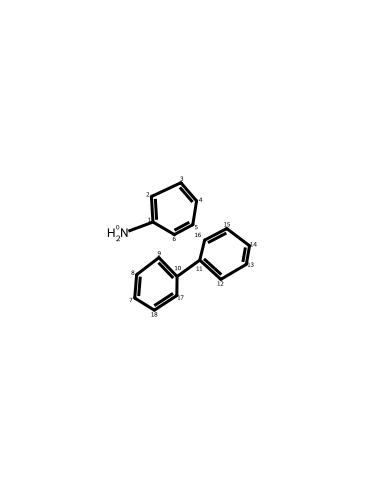 Nc1ccccc1.c1ccc(-c2ccccc2)cc1